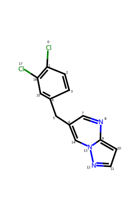 Clc1ccc(Cc2cnc3ccnn3c2)cc1Cl